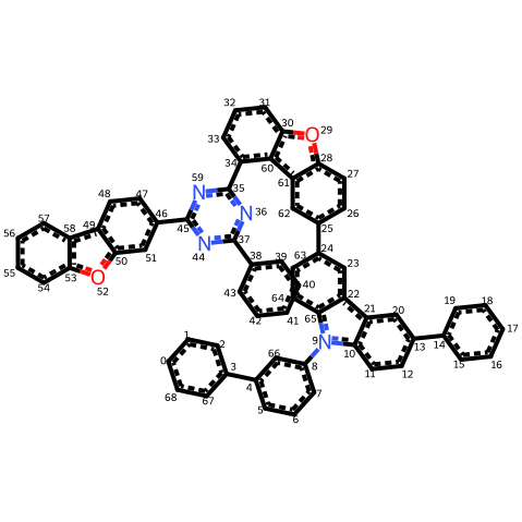 c1ccc(-c2cccc(-n3c4ccc(-c5ccccc5)cc4c4cc(-c5ccc6oc7cccc(-c8nc(-c9ccccc9)nc(-c9ccc%10c(c9)oc9ccccc9%10)n8)c7c6c5)ccc43)c2)cc1